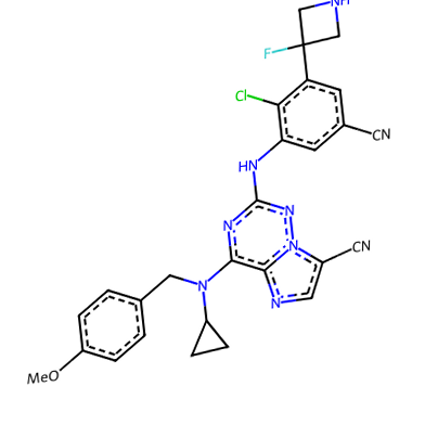 COc1ccc(CN(c2nc(Nc3cc(C#N)cc(C4(F)CNC4)c3Cl)nn3c(C#N)cnc23)C2CC2)cc1